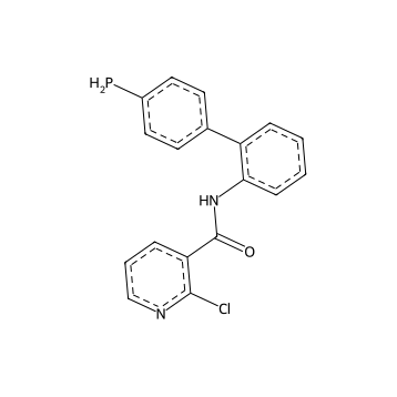 O=C(Nc1ccccc1-c1ccc(P)cc1)c1cccnc1Cl